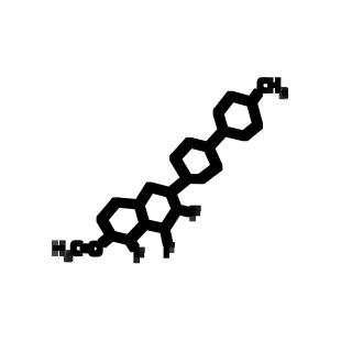 COC1CCC2CC(C3CCC(C4CCC(C)CC4)CC3)C(F)C(F)C2C1F